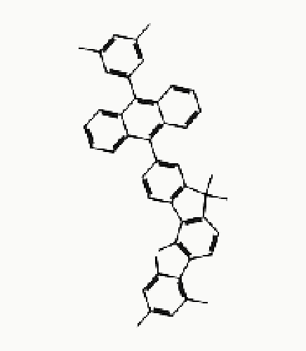 Cc1cc(C)cc(-c2c3ccccc3c(-c3ccc4c(c3)C(C)(C)c3ccc5c(sc6cc(C)cc(C)c65)c3-4)c3ccccc23)c1